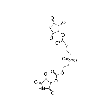 O=C(OCCS(=O)(=O)CCOC(=O)OC1C(=O)NC(=O)C1=O)OC1C(=O)NC(=O)C1=O